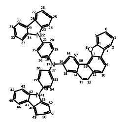 c1ccc2c(c1)oc1c2ccc2ccc3cc(N(c4ccc(-n5c6ccccc6c6ccccc65)cc4)c4ccc(-n5c6ccccc6c6ccccc65)cc4)ccc3c21